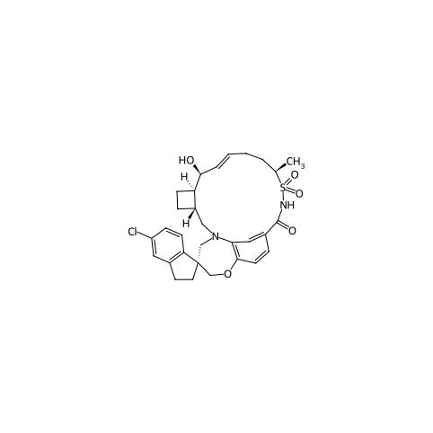 C[C@@H]1CC/C=C/[C@H](O)[C@@H]2CC[C@H]2CN2C[C@@]3(CCc4cc(Cl)ccc43)COc3ccc(cc32)C(=O)NS1(=O)=O